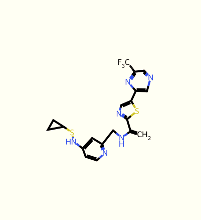 C=C(NCc1cc(NSC2CC2)ccn1)c1ncc(-c2cncc(C(F)(F)F)n2)s1